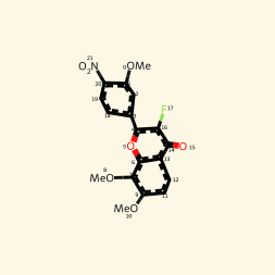 COc1cc(-c2oc3c(OC)c(OC)ccc3c(=O)c2F)ccc1[N+](=O)[O-]